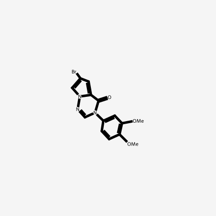 COc1ccc(-n2cnn3cc(Br)cc3c2=O)cc1OC